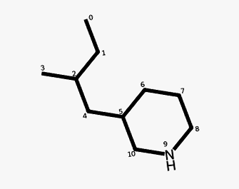 CCC(C)CC1CCCNC1